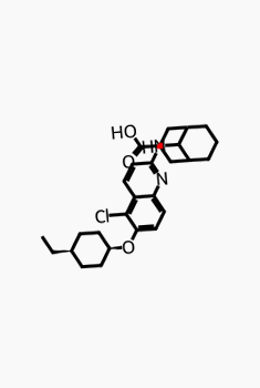 CC[C@H]1CC[C@@H](Oc2ccc3nc(NC4C5CCCC4CC(C(=O)O)C5)ccc3c2Cl)CC1